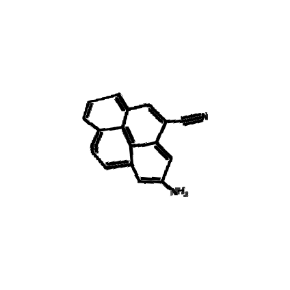 N#Cc1cc2cccc3ccc4cc(N)cc1c4c32